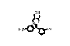 N#Cc1cccc(-c2cn(CC(CO)C(F)F)c3cc(N)ccc23)c1